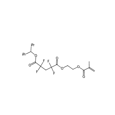 C=C(C)C(=O)OCCOC(=O)C(F)(F)CC(F)(F)C(=O)OC(C(C)C)C(C)C